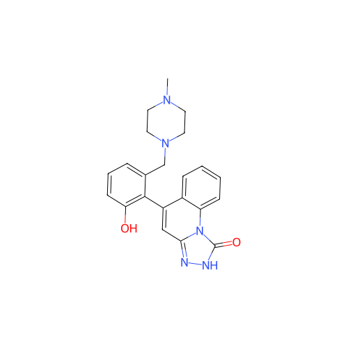 CN1CCN(Cc2cccc(O)c2-c2cc3n[nH]c(=O)n3c3ccccc23)CC1